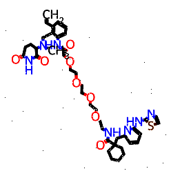 C=Cc1cccc(NC(=O)COCCOCCOCCOCCNC(=O)C2(Cc3cccc(Nc4nccs4)n3)CCCCC2)c1CN(C)C1CCC(=O)NC1=O